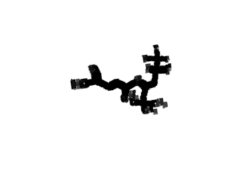 CC(C)(C)C(CC(F)(F)C(F)(F)F)OC(=O)C=CC(=O)O